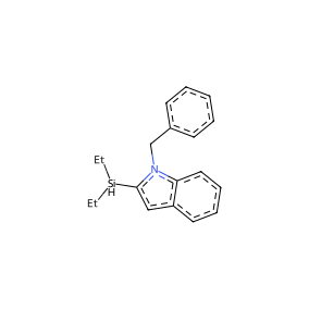 CC[SiH](CC)c1cc2ccccc2n1Cc1ccccc1